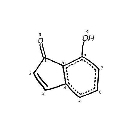 O=C1C=Cc2cccc(O)c21